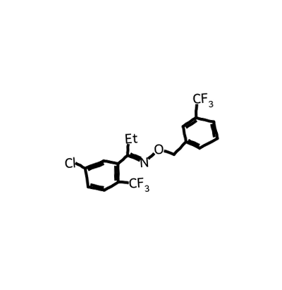 CC/C(=N\OCc1cccc(C(F)(F)F)c1)c1cc(Cl)ccc1C(F)(F)F